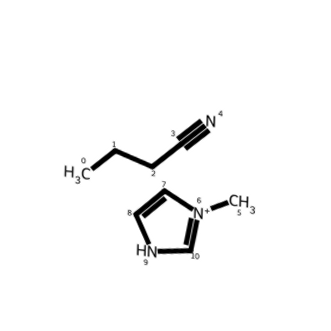 CCCC#N.C[n+]1cc[nH]c1